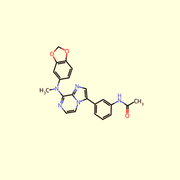 CC(=O)Nc1cccc(-c2cnc3c(N(C)c4ccc5c(c4)OCO5)nccn23)c1